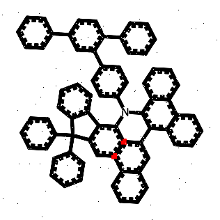 c1ccc(-c2ccc(-c3ccccc3)c(-c3ccc(N(c4cccc5c4-c4ccccc4C5(c4ccccc4)c4ccccc4)c4c(-c5ccc6ccccc6c5)c5ccccc5c5ccccc45)cc3)c2)cc1